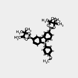 C=C1OB(c2ccc3c(c2)c2cc(B4OC(C)(C)C(C)(C)O4)ccc2n3-c2ccc(OC)cc2)OC1(C)C